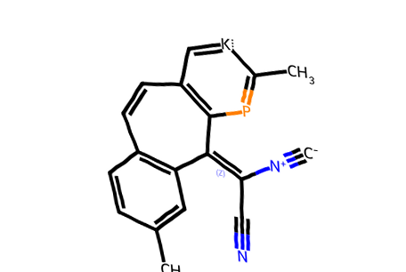 [C-]#[N+]/C(C#N)=C1\C2=C(C=Cc3ccc(C)cc31)[CH]=[K][C](C)=P2